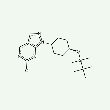 CC(C)(C)[Si](C)(C)O[C@H]1CC[C@H](n2ncc3cnc(Cl)nc32)CC1